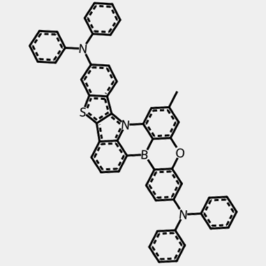 Cc1cc2c3c(c1)-n1c4c(cccc4c4sc5cc(N(c6ccccc6)c6ccccc6)ccc5c41)B3c1ccc(N(c3ccccc3)c3ccccc3)cc1O2